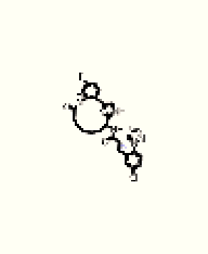 O=C(/C=C/c1cc(Cl)ccc1-n1cnnn1)N[C@H]1CCCCCC(=O)Nc2cc(F)ccc2-c2c[nH]c1n2